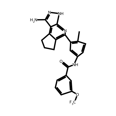 Cc1ccc(NC(=O)c2cccc(OC(F)(F)F)c2)cc1-c1nc2[nH]nc(N)c2c2c1CCC2